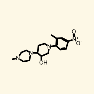 Cc1cc([N+](=O)[O-])ccc1N1CCC(N2CCN(C)CC2)C(O)C1